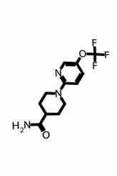 NC(=O)C1CCN(c2ccc(OC(F)(F)F)cn2)CC1